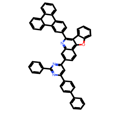 c1ccc(-c2ccc(-c3cc(-c4ccc5c(c4)nc(-c4ccc6c7ccccc7c7ccccc7c6c4)c4c6ccccc6oc54)nc(-c4ccccc4)n3)cc2)cc1